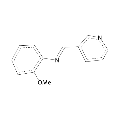 COc1ccccc1N=Cc1cccnc1